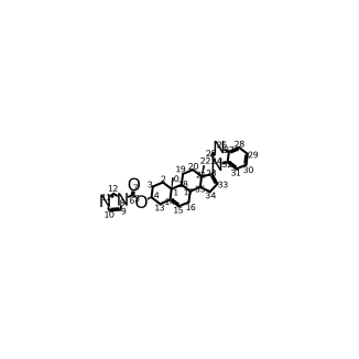 C[C@]12CC[C@H](OC(=O)n3ccnc3)CC1=CCC1C2CC[C@]2(C)C(n3cnc4ccccc43)=CCC12